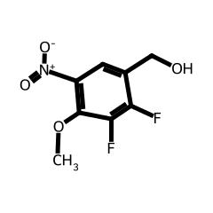 COc1c([N+](=O)[O-])cc(CO)c(F)c1F